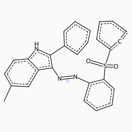 Cc1ccc2[nH]c(-c3ccccc3)c(/N=N/c3ccccc3S(=O)(=O)c3ccccc3)c2c1